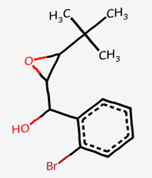 CC(C)(C)C1OC1C(O)c1ccccc1Br